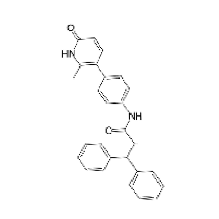 Cc1[nH]c(=O)ccc1-c1ccc(NC(=O)[CH]C(c2ccccc2)c2ccccc2)cc1